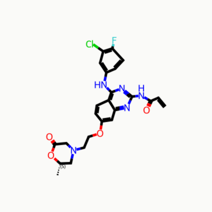 C=CC(=O)Nc1nc(Nc2ccc(F)c(Cl)c2)c2ccc(OCCN3CC(=O)O[C@@H](C)C3)cc2n1